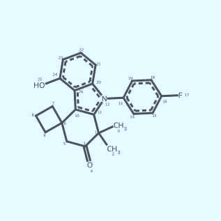 CC1(C)C(=O)CC2(CCC2)c2c1n(-c1ccc(F)cc1)c1cccc(O)c21